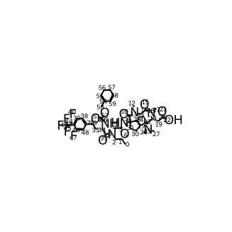 CCCN(CC(=O)NC1(C(=O)N(C)CC(=O)N(C)[C@@H](CC(=O)O)C(=O)N(C)C)CCCC1)C(=O)[C@H](CCc1cc(F)c(C(F)(F)F)c(F)c1)NC(=O)OCC1=CCCC=C1